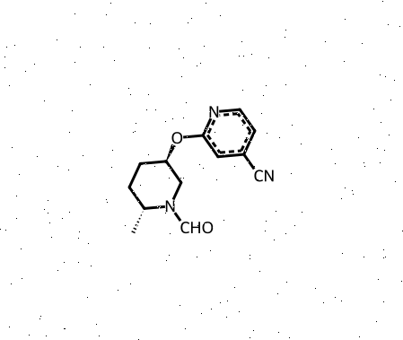 C[C@@H]1CC[C@@H](Oc2cc(C#N)ccn2)CN1C=O